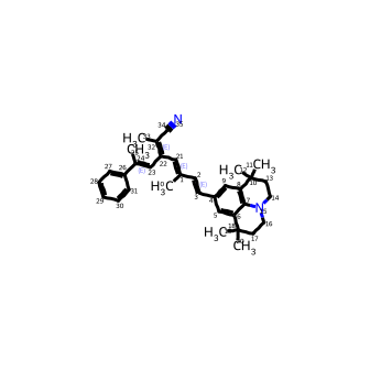 CC(/C=C/c1cc2c3c(c1)C(C)(C)CCN3CCC2(C)C)=C\C(\C=C(/C)c1ccccc1)=C(\C)C#N